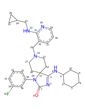 O=C1N=C(NC2CCCCC2)C2(CCN(Cc3cccnc3NCC3CC3)CC2)N1c1cccc(F)c1